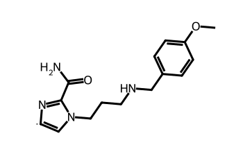 COc1ccc(CNCCCn2c[c]nc2C(N)=O)cc1